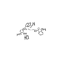 Cl.O=C(OCCCN[C@@H](Cc1ccc(O)c(O)c1)C(=O)O)c1ccccc1O